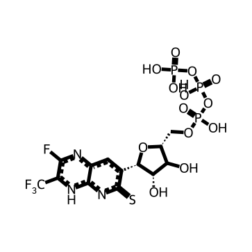 O=P(O)(O)OP(=O)(O)OP(=O)(O)OC[C@H]1O[C@@H](c2cc3nc(F)c(C(F)(F)F)[nH]c-3nc2=S)[C@@H](O)C1O